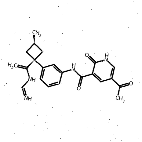 C=C(NC=N)[C@]1(c2cccc(NC(=O)c3cc(C(C)=O)c[nH]c3=O)c2)C[C@H](C)C1